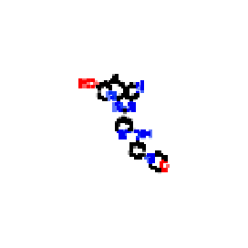 OC1CCN(c2nc(-c3ccnc(Nc4cccc(N5CCOCC5)c4)c3)nc3cncc(C4CC4)c23)CC1